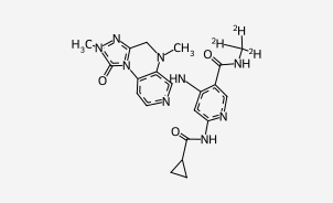 [2H]C([2H])([2H])NC(=O)c1cnc(NC(=O)C2CC2)cc1Nc1nccc2c1N(C)Cc1nn(C)c(=O)n1-2